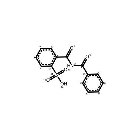 O=C(NC(=O)c1ccccc1S(=O)(=O)O)c1ccccc1